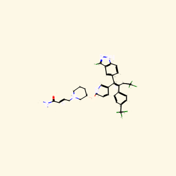 CN(C)C(=O)/C=C/CN1CCC[C@@H](Oc2ccc(/C(=C(/CC(F)(F)F)c3ccc(C(F)(F)F)cc3)c3ccc4[nH]nc(F)c4c3)cn2)C1